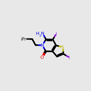 CC(C)CCn1c(N)c(I)c2sc(I)cc2c1=O